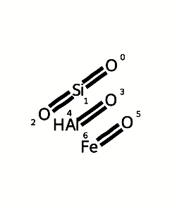 O=[Si]=O.[O]=[AlH].[O]=[Fe]